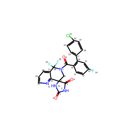 O=C1NC(=O)C2(CN(C(=O)c3ccc(F)cc3-c3ccc(Cl)cc3)C(F)(F)c3cccnc32)N1